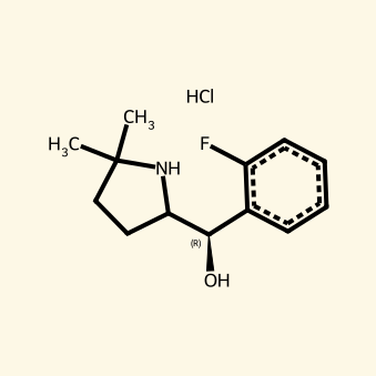 CC1(C)CCC([C@H](O)c2ccccc2F)N1.Cl